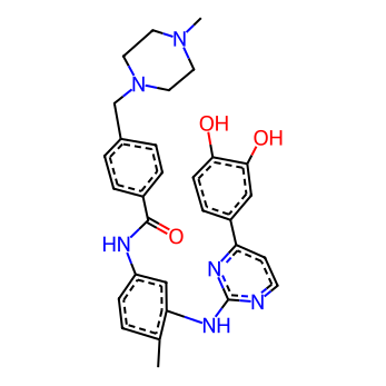 Cc1ccc(NC(=O)c2ccc(CN3CCN(C)CC3)cc2)cc1Nc1nccc(-c2ccc(O)c(O)c2)n1